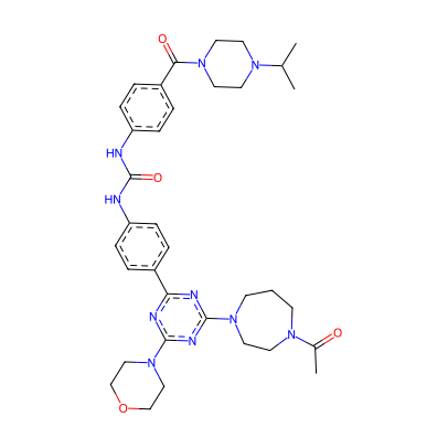 CC(=O)N1CCCN(c2nc(-c3ccc(NC(=O)Nc4ccc(C(=O)N5CCN(C(C)C)CC5)cc4)cc3)nc(N3CCOCC3)n2)CC1